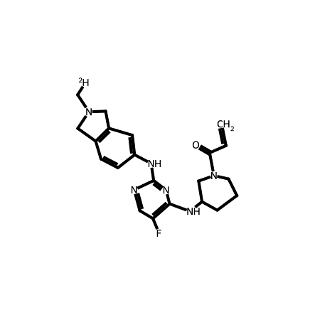 [2H]CN1Cc2ccc(Nc3ncc(F)c(NC4CCCN(C(=O)C=C)C4)n3)cc2C1